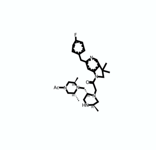 CC(=O)N1C[C@@H](C)N(C[C@H]2CN[C@H](C)CN2CC(=O)N2CC(C)(C)c3cnc(Cc4ccc(F)cc4)cc32)[C@H](C)C1